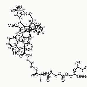 CCC(CO)OC(COC(=O)CCCC(=O)N[C@H](C)C(=O)OCCCNC(=O)[C@]1(O)C2N(C)c3cc(OC)c([C@@]4(C(=O)OC)CC5C[N@](CCc6c4[nH]c4ccccc64)CC(O)(CC)C5)cc3C23CCN2CC=C[C@](CC)(C23)[C@H]1O)OC